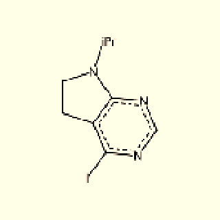 CC(C)N1CCc2c(I)ncnc21